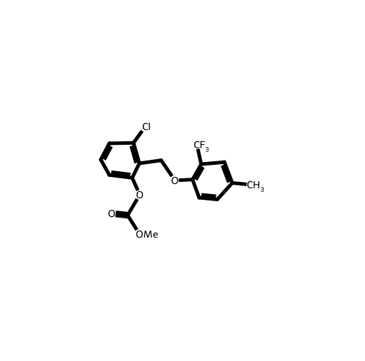 COC(=O)Oc1cccc(Cl)c1COc1ccc(C)cc1C(F)(F)F